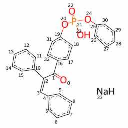 O=C(C(=Cc1ccccc1)c1ccccc1)c1ccc(OP(=O)(O)Oc2ccccc2)cc1.[NaH]